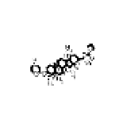 CC(C)[C@@H](OC(=O)N1CCC1)C1C[C@@H](C)[C@H]2C(O1)[C@H](O)[C@@]1(C)C3CC[C@H]4C(C)(C)C(O[C@H]5CNCCO5)CCC45C[C@@]35CCC21C